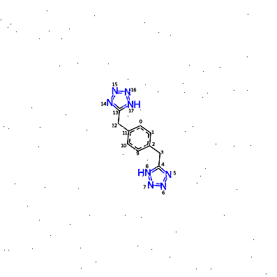 c1cc(Cc2nnn[nH]2)ccc1Cc1nnn[nH]1